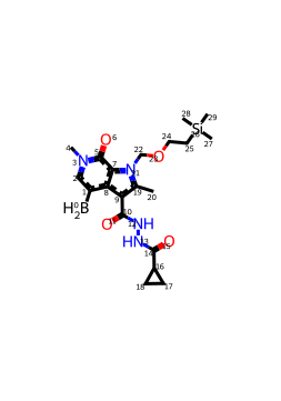 Bc1cn(C)c(=O)c2c1c(C(=O)NNC(=O)C1CC1)c(C)n2COCC[Si](C)(C)C